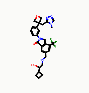 Cn1cnnc1CC1(c2cccc(N3Cc4c(cc(CNCC(O)C5CCC5)cc4C(F)(F)F)C3=O)c2)COC1